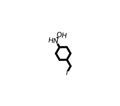 ONC1CCC(CI)CC1